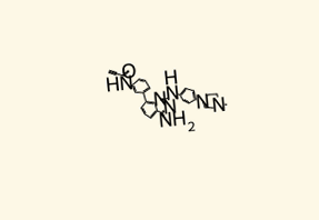 C#CC(=O)Nc1cccc(-c2cccc3c(N)nc(Nc4ccc(N5CCN(C)CC5)cc4)nc23)c1